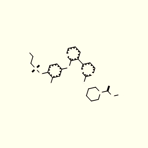 CC(C)(C)OC(=O)N1CCC[C@H](Nc2nccc(-c3cccnc3Oc3ccc(NS(=O)(=O)CCC(F)(F)F)c(F)c3)n2)C1